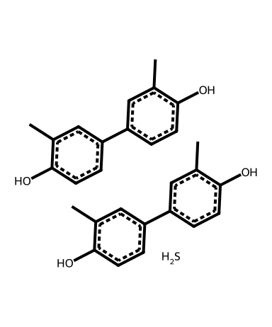 Cc1cc(-c2ccc(O)c(C)c2)ccc1O.Cc1cc(-c2ccc(O)c(C)c2)ccc1O.S